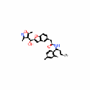 Cc1ccc(C(CCC(C)C)NC(=O)Cc2ccc3oc(C(O)c4c(C)noc4C)cc3c2)c(C)c1